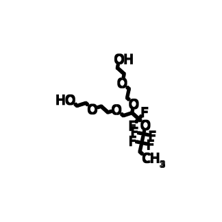 CCC(F)(F)C(F)(F)OC(F)(F)C(COCCOCCO)OCCOCCO